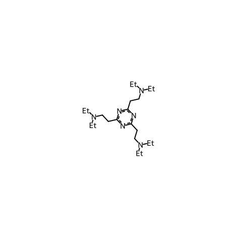 CCN(CC)CCc1nc(CCN(CC)CC)nc(CCN(CC)CC)n1